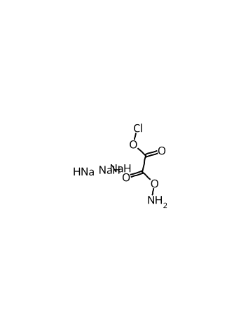 NOC(=O)C(=O)OCl.[NaH].[NaH].[NaH]